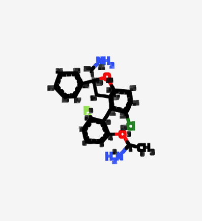 CC(N)Oc1cccc(F)c1-c1c(Cl)ccc2c1C[C@@](CN)(c1ccccc1)O2